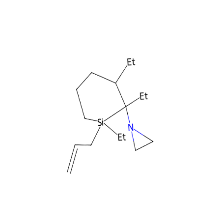 C=CC[Si]1(CC)CCCC(CC)C1(CC)N1CC1